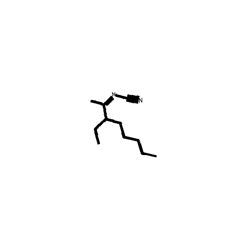 CCCCCC(CC)/C(C)=N\C#N